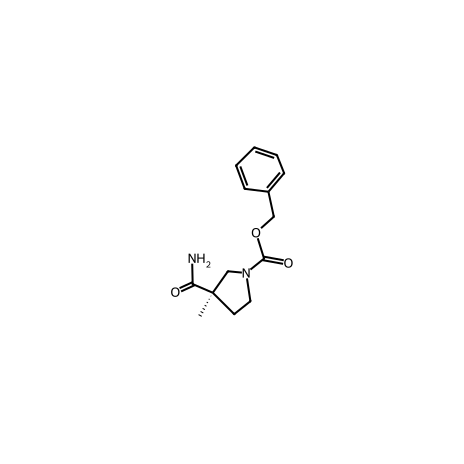 C[C@@]1(C(N)=O)CCN(C(=O)OCc2ccccc2)C1